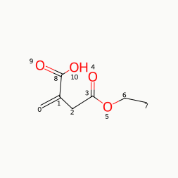 C=C(CC(=O)OCC)C(=O)O